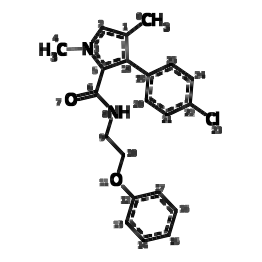 Cc1cn(C)c(C(=O)NCCOc2ccccc2)c1-c1ccc(Cl)cc1